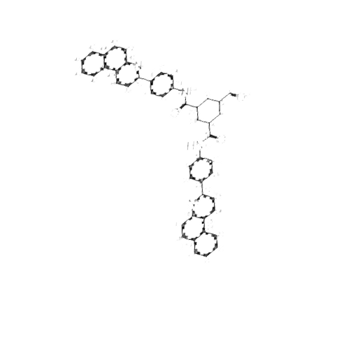 O=CC1CC(C(=O)Nc2ccc(-c3ccc4c(ccc5ccccc54)n3)cc2)CC(C(=O)Nc2ccc(-c3ccc4c(ccc5ccccc54)n3)cc2)C1